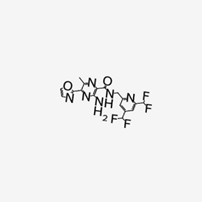 Cc1nc(C(=O)NCc2cc(C(F)F)cc(C(F)F)n2)c(N)nc1-c1ncco1